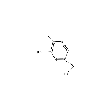 Cc1ncc(CO)nc1Br